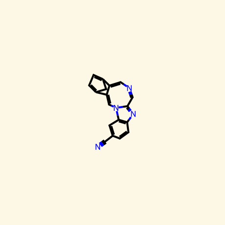 N#Cc1ccc2nc3n(c2c1)C=C1C2=CC=C(C2)C1=CN=C3